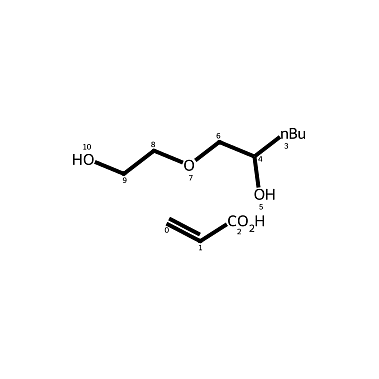 C=CC(=O)O.CCCCC(O)COCCO